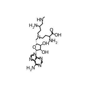 CNCC(N)CCN(CCC(N)C(=O)O)C[C@H]1O[C@@H](n2cnc3c(N)ncnc32)[C@H](O)[C@@H]1O